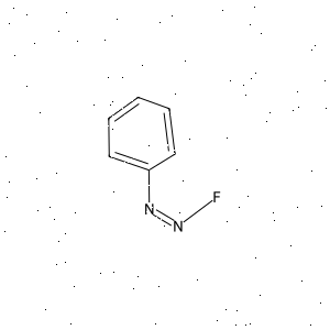 F/N=N\c1ccccc1